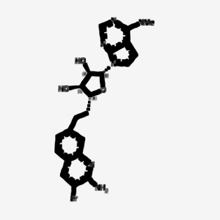 CNc1ncnc2c1ccn2[C@@H]1O[C@H](CCc2ccc3cc(Br)c(N)nc3c2)[C@@H](O)[C@H]1O